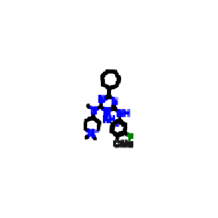 COc1ccc(NC2=NC(C3CCCCCC3)=NC(N(C)C3CC[N+](C)(C)CC3)N2N)cc1F